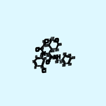 C#CC(=O)N(c1cccc(Cl)c1)C(C(=O)NCc1ccccc1)C1CCOCC1